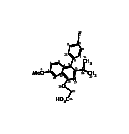 COc1ccc2c(-c3ccc(F)cc3)c(N(C)C)nc(OCC(=O)O)c2c1